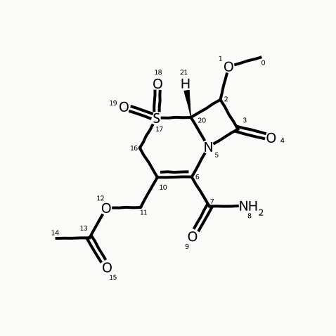 COC1C(=O)N2C(C(N)=O)=C(COC(C)=O)CS(=O)(=O)[C@H]12